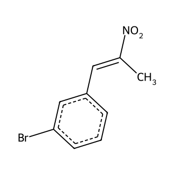 C/C(=C\c1cccc(Br)c1)[N+](=O)[O-]